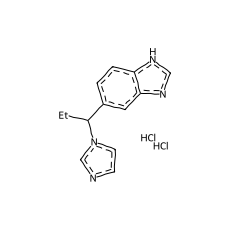 CCC(c1ccc2[nH]cnc2c1)n1ccnc1.Cl.Cl